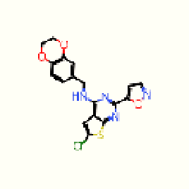 Clc1cc2c(NCc3ccc4c(c3)OCCO4)nc(-c3ccno3)nc2s1